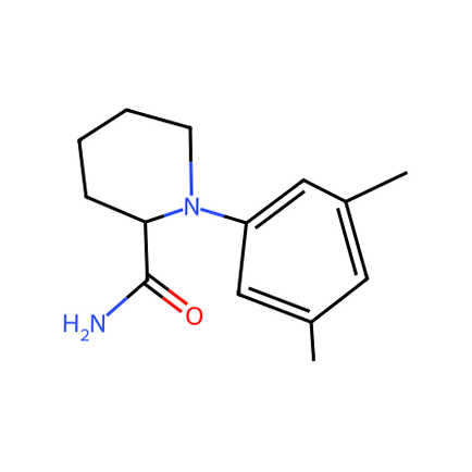 Cc1cc(C)cc(N2CCCCC2C(N)=O)c1